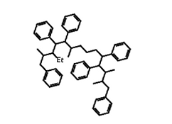 CCC(C(C)Cc1ccccc1)C(c1ccccc1)C(c1ccccc1)C(C)CCCC(c1ccccc1)C(c1ccccc1)C(C)C(C)Cc1ccccc1